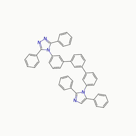 c1ccc(-c2cnc(-c3ccccc3)n2-c2cccc(-c3cccc(-c4cccc(-n5c(-c6ccccc6)nnc5-c5ccccc5)c4)c3)c2)cc1